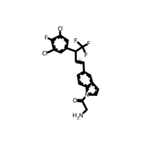 NCC(=O)n1ccc2cc(/C=C/C(c3cc(Cl)c(F)c(Cl)c3)C(F)(F)F)ccc21